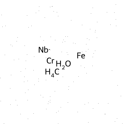 C.O.[Cr].[Fe].[Nb]